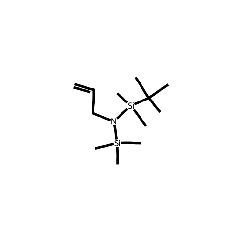 C=CCN([Si](C)(C)C)[Si](C)(C)C(C)(C)C